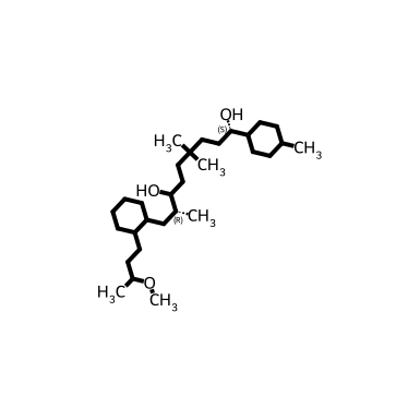 COC(C)CCC1CCCCC1C[C@@H](C)C(O)CCC(C)(C)CC[C@H](O)C1CCC(C)CC1